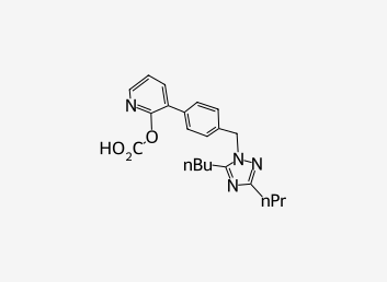 CCCCc1nc(CCC)nn1Cc1ccc(-c2cccnc2OC(=O)O)cc1